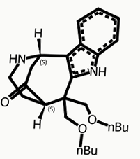 CCCCOCC1(COCCCC)c2[nH]c3ccccc3c2[C@@H]2CC(=O)[C@H]1CCN2